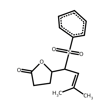 CC(C)=CC(C1CCC(=O)O1)S(=O)(=O)c1ccccc1